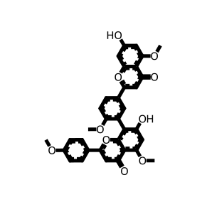 COc1ccc(-c2cc(=O)c3c(OC)cc(O)c(-c4cc(-c5cc(=O)c6c(OC)cc(O)cc6o5)ccc4OC)c3o2)cc1